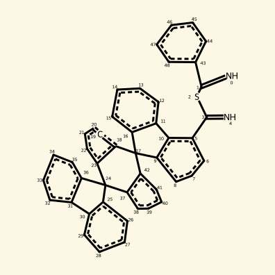 N=C(SC(=N)c1cccc2c1-c1ccccc1C21c2ccccc2C2(c3ccccc3-c3ccccc32)c2ccccc21)c1ccccc1